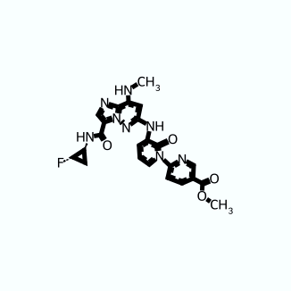 CNc1cc(Nc2cccn(-c3ccc(C(=O)OC)cn3)c2=O)nn2c(C(=O)N[C@@H]3C[C@@H]3F)cnc12